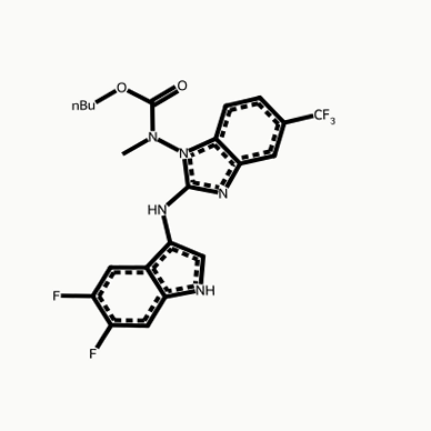 CCCCOC(=O)N(C)n1c(Nc2c[nH]c3cc(F)c(F)cc23)nc2cc(C(F)(F)F)ccc21